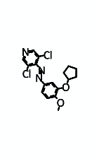 COc1ccc(N=Nc2c(Cl)cncc2Cl)cc1OC1CCCC1